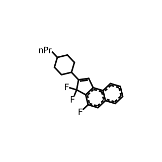 CCCC1CCC(C2=Cc3c(c(F)cc4ccccc34)C2(F)F)CC1